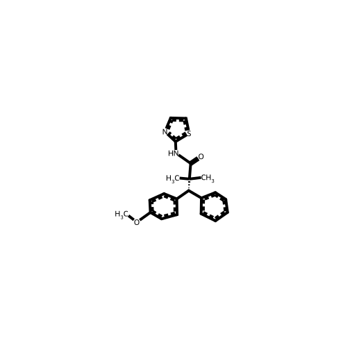 COc1ccc([C@@H](c2ccccc2)C(C)(C)C(=O)Nc2nccs2)cc1